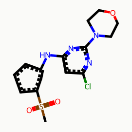 CS(=O)(=O)c1cccc(Nc2cc(Cl)nc(N3CCOCC3)n2)c1